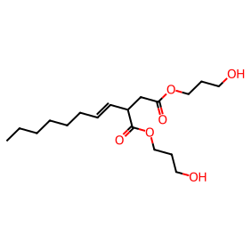 CCCCCCC=CC(CC(=O)OCCCO)C(=O)OCCCO